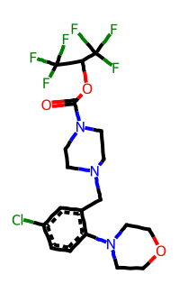 O=C(OC(C(F)(F)F)C(F)(F)F)N1CCN(Cc2cc(Cl)ccc2N2CCOCC2)CC1